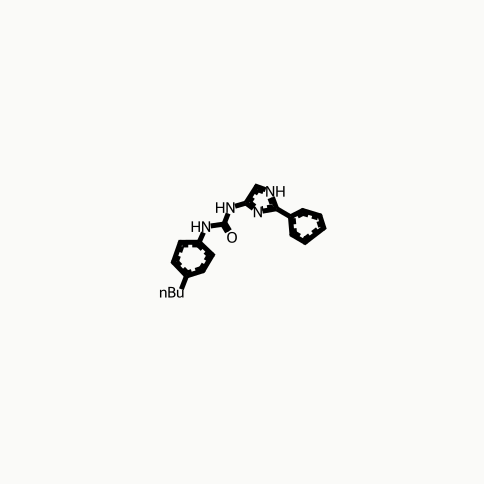 CCCCc1ccc(NC(=O)Nc2c[nH]c(-c3ccccc3)n2)cc1